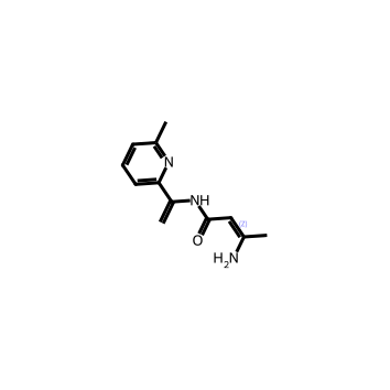 C=C(NC(=O)/C=C(/C)N)c1cccc(C)n1